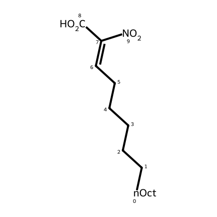 CCCCCCCCCCCCC/C=C(/C(=O)O)[N+](=O)[O-]